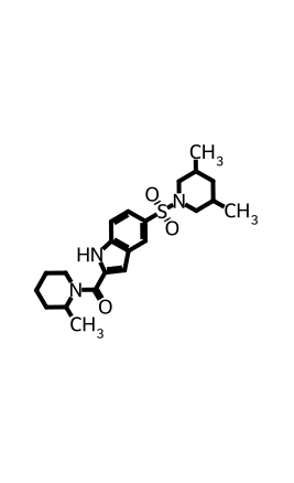 CC1CC(C)CN(S(=O)(=O)c2ccc3[nH]c(C(=O)N4CCCCC4C)cc3c2)C1